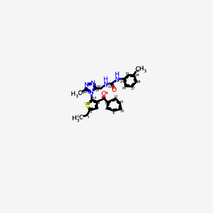 CCc1cc(C(=O)c2ccccc2)c(-n2c(C)nnc2CNC(=O)Nc2cccc(C)c2)s1